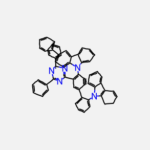 c1c(-c2ccccc2-n2c3c(c4ccccc42)C=CCC3)cc(-c2nc(-c3ccccc3)nc(-c3ccccc3)n2)c(-n2c3ccccc3c3cc(-c4ccccc4)ccc32)c#1